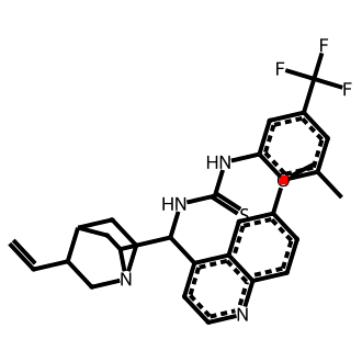 C=CC1CN2CCC1CC2C(NC(=S)Nc1cc(C)cc(C(F)(F)F)c1)c1ccnc2ccc(OC)cc12